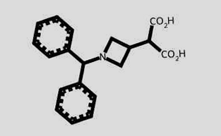 O=C(O)C(C(=O)O)C1CN(C(c2ccccc2)c2ccccc2)C1